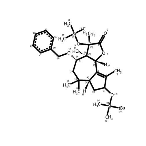 CC1=C2[C@H]3OC(=O)[C@@](C)(O[Si](C)(C)C)[C@]3(O)[C@@H](OCc3ccccc3)CC(C)(C)[C@H]2CC1O[Si](C)(C)C(C)(C)C